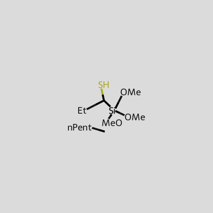 CCC(S)[Si](OC)(OC)OC.CCCCCC